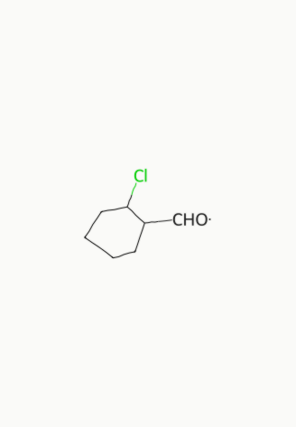 O=[C]C1CCCCC1Cl